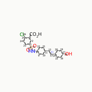 O=C(O)c1cc(S(=O)(=O)Nc2ccc(/C=C/c3ccc(O)cc3)cc2)ccc1Cl